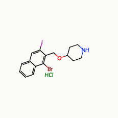 Brc1c(COC2CCNCC2)c(I)cc2ccccc12.Cl